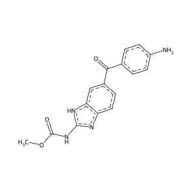 COC(=O)Nc1nc2ccc(C(=O)c3ccc(N)cc3)cc2[nH]1